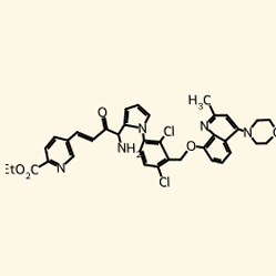 CCOC(=O)c1ccc(/C=C/C(=O)C(N)c2cccn2-c2ccc(Cl)c(COc3cccc4c(N5CCOCC5)cc(C)nc34)c2Cl)cn1